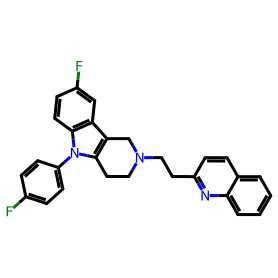 Fc1ccc(-n2c3c(c4cc(F)ccc42)CN(CCc2ccc4ccccc4n2)CC3)cc1